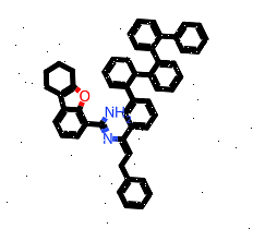 N/C(=N\C(=C/Cc1ccccc1)c1cccc(C2=CC=CCC2c2ccccc2-c2ccccc2-c2ccccc2)c1)c1cccc2c3c(oc12)CCCC3